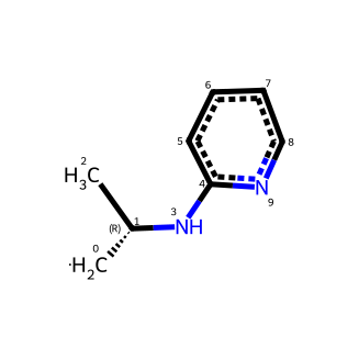 [CH2][C@H](C)Nc1ccccn1